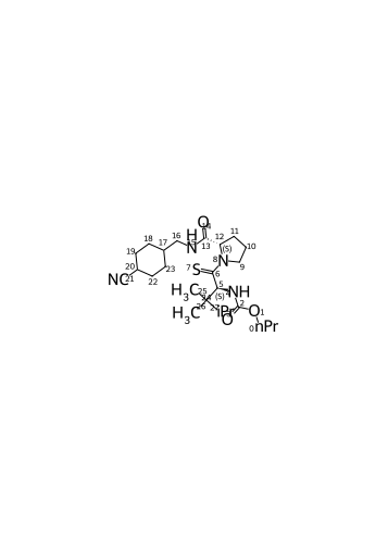 CCCOC(=O)N[C@H](C(=S)N1CCC[C@H]1C(=O)NCC1CCC(C#N)CC1)C(C)(C)C(C)C